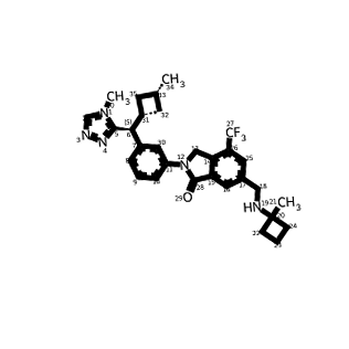 Cn1cnnc1[C@H](c1cccc(N2Cc3c(cc(CNC4(C)CCC4)cc3C(F)(F)F)C2=O)c1)[C@H]1C[C@@H](C)C1